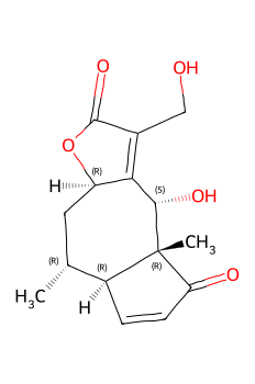 C[C@@H]1C[C@H]2OC(=O)C(CO)=C2[C@H](O)[C@]2(C)C(=O)C=C[C@@H]12